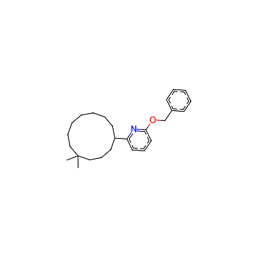 CC1(C)CCCCCCCC(c2cccc(OCc3ccccc3)n2)CCC1